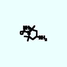 CC1(C)CC(N)CC(C)(C)N1C(N)=O